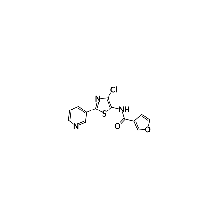 O=C(Nc1sc(-c2cccnc2)nc1Cl)c1ccoc1